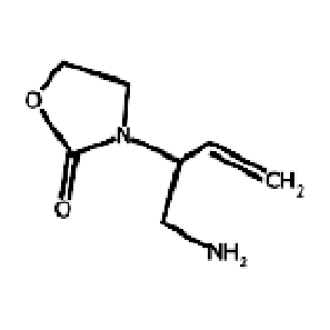 C=CC(CN)N1CCOC1=O